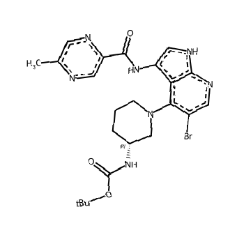 Cc1cnc(C(=O)Nc2c[nH]c3ncc(Br)c(N4CCC[C@@H](NC(=O)OC(C)(C)C)C4)c23)cn1